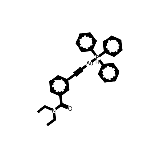 CCN(CC)C(=O)c1cccc(C#[C][Au][PH](c2ccccc2)(c2ccccc2)c2ccccc2)c1